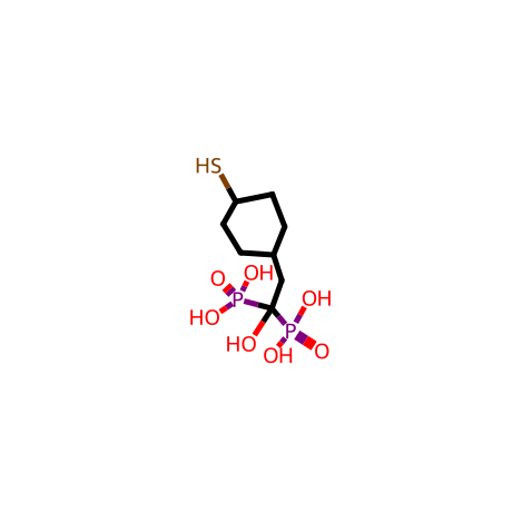 O=P(O)(O)C(O)(CC1CCC(S)CC1)P(=O)(O)O